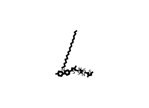 CCCCCCCCCCCCCCCCCCCCn1c2cc(C)ccc2c2ccc(-c3cc(C)c(-c4nc5sc(-c6sc(C)cc6C)nc5s4)s3)cc21